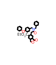 CCOC(=O)c1cc2c(cc1CC(=O)N(Cc1ccccc1)Cc1ccc(Oc3ccccc3)cc1)C(=O)OC2